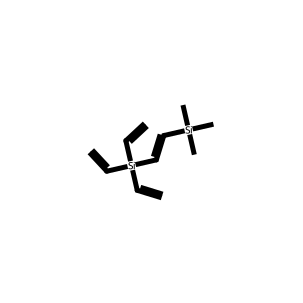 C=C[Si](C=C)(C=C)C=C[Si](C)(C)C